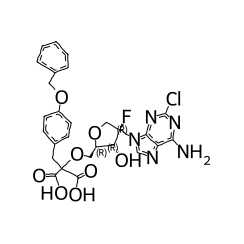 Nc1nc(Cl)nc2c1ncn2[C@@]1(F)CO[C@H](COC(Cc2ccc(OCc3ccccc3)cc2)(C(=O)O)C(=O)O)[C@H]1O